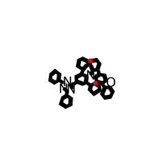 c1ccc(-c2nc(-c3ccccc3)nc(-c3cc(-c4ccccc4)c(-n4c5ccccc5c5cc6oc7ccccc7c6cc54)c(-c4ccccc4)c3)n2)cc1